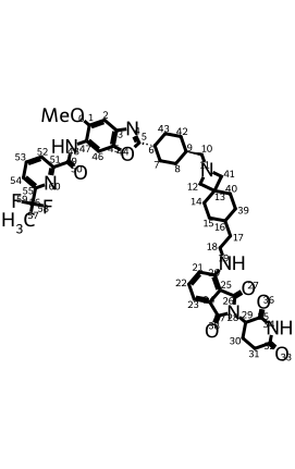 COc1cc2nc([C@H]3CC[C@H](CN4CC5(CCC(CCNc6cccc7c6C(=O)N(C6CCC(=O)NC6=O)C7=O)CC5)C4)CC3)oc2cc1NC(=O)c1cccc(C(C)(F)F)n1